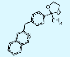 CC1(c2ccc(Cc3cc4ccccc4cn3)cc2)OCCO1